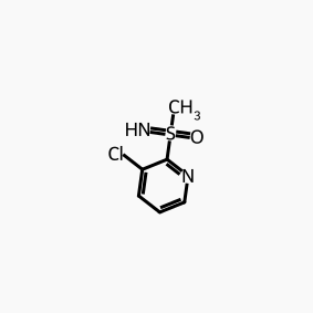 CS(=N)(=O)c1ncccc1Cl